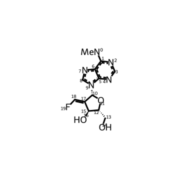 CNc1ncnc2c1ncn2[C@@H]1O[C@H](CO)[C@@H](O)C1=CF